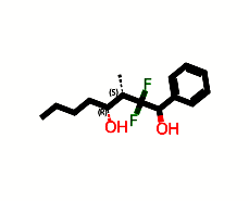 CCCC[C@@H](O)[C@H](C)C(F)(F)C(O)c1ccccc1